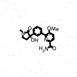 COc1ccc(C(N)=O)nc1-c1cccc([C@]2(O)CCN(C)C2=O)c1